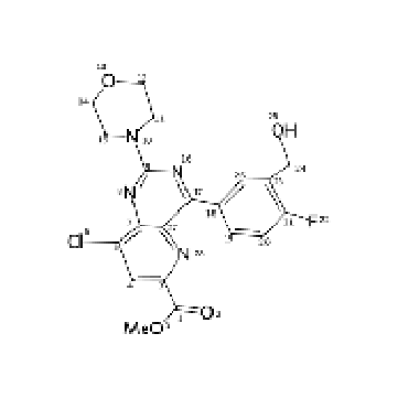 COC(=O)c1cc(Cl)c2nc(N3CCOCC3)nc(-c3ccc(F)c(CO)c3)c2n1